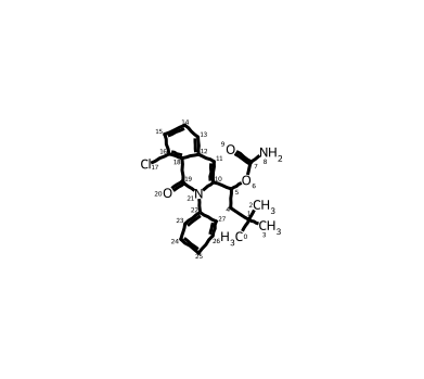 CC(C)(C)CC(OC(N)=O)c1cc2cccc(Cl)c2c(=O)n1-c1ccccc1